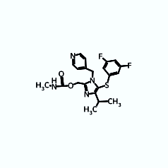 CNC(=O)OCc1nc(C(C)C)c(Sc2cc(F)cc(F)c2)n1Cc1ccncc1